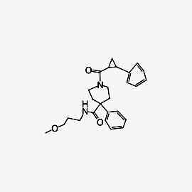 COCCCNC(=O)C1(c2ccccc2)CCN(C(=O)C2CC2c2ccccc2)CC1